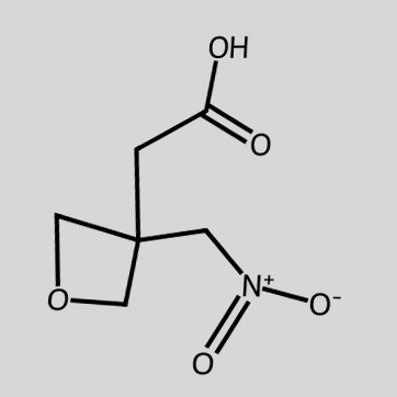 O=C(O)CC1(C[N+](=O)[O-])COC1